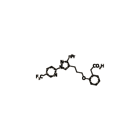 CCCc1nn(-c2ccc(C(F)(F)F)cn2)cc1CCCOc1ccccc1CC(=O)O